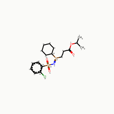 CC(C)OC(=O)CCS(=NS(=O)(=O)c1ccccc1Cl)C1CCCCC1